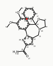 COc1cc2c(cc1OC)C1(c3ccccc3)OCCN1Cc1nc(C(N)=O)nn1-2